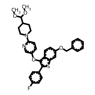 COC(OC)C1CCN(c2ccc(Oc3c(-c4ccc(F)cc4)sc4cc(OCc5ccccc5)ccc34)cn2)CC1